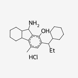 CCC(c1cc(C)c2c(c1O)C(N)C1CCCCC21)C1CCCCC1.Cl